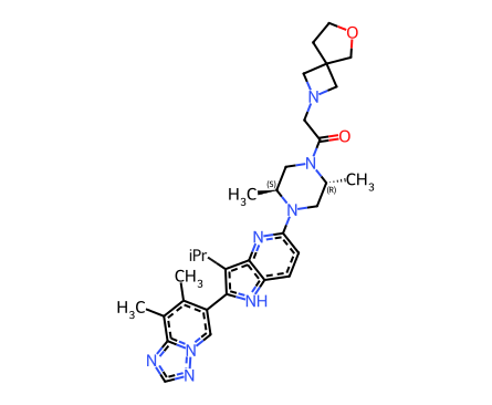 Cc1c(-c2[nH]c3ccc(N4C[C@@H](C)N(C(=O)CN5CC6(CCOC6)C5)C[C@@H]4C)nc3c2C(C)C)cn2ncnc2c1C